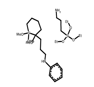 CCO[Si](CCCN)(OCC)OCC.COC1(CCCNc2ccccc2)CCCC[Si]1(OC)OC